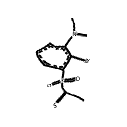 CC([S])S(=O)(=O)c1cccc(N(C)C)c1Br